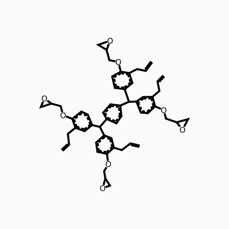 C=CCc1cc(C(c2ccc(C(c3ccc(OCC4CO4)c(CC=C)c3)c3ccc(OCC4CO4)c(CC=C)c3)cc2)c2ccc(OCC3CO3)c(CC=C)c2)ccc1OCC1CO1